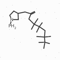 C=C(CC1CCN(P)C1)CC(C)(C)C(C)(C)CC(C)(C)C(C)(C)C